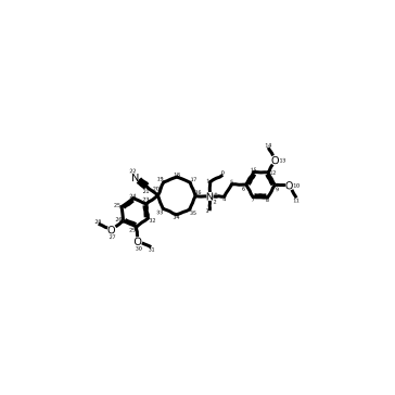 CC[N+](C)(CCc1ccc(OC)c(OC)c1)C1CCCC(C#N)(c2ccc(OC)c(OC)c2)CCC1